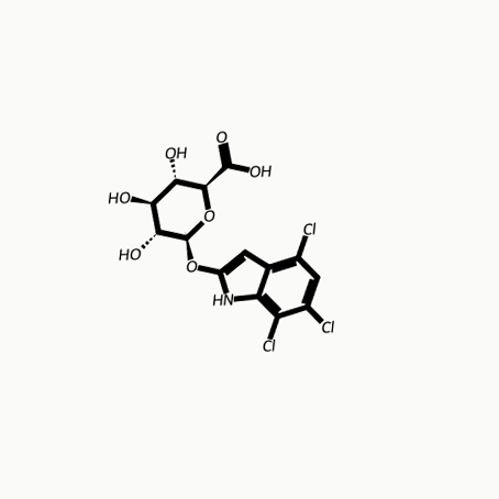 O=C(O)[C@H]1O[C@@H](Oc2cc3c(Cl)cc(Cl)c(Cl)c3[nH]2)[C@H](O)[C@@H](O)[C@@H]1O